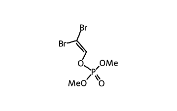 COP(=O)(OC)OC=C(Br)Br